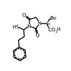 CCC(C)[C@@H](C(=O)O)N1CC(=O)N(C(S)CCc2ccccc2)C1=O